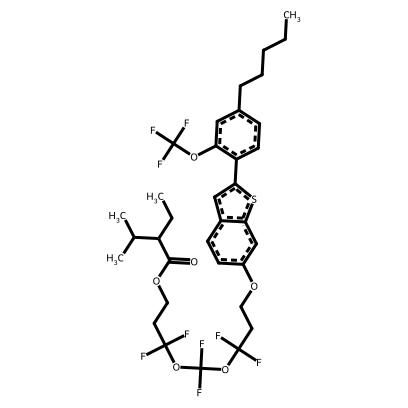 CCCCCc1ccc(-c2cc3ccc(OCCC(F)(F)OC(F)(F)OC(F)(F)CCOC(=O)C(CC)C(C)C)cc3s2)c(OC(F)(F)F)c1